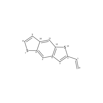 C=Cc1cc2cc3sccc3cc2s1